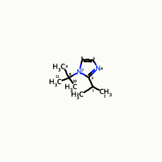 CC(C)c1nccn1C(C)(C)C